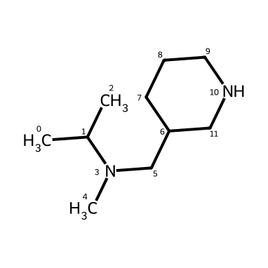 CC(C)N(C)CC1CCCNC1